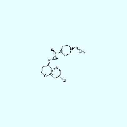 C=CN1CCN(C(=S)N/N=C2/CCOc3cc(Cl)cnc32)CC1